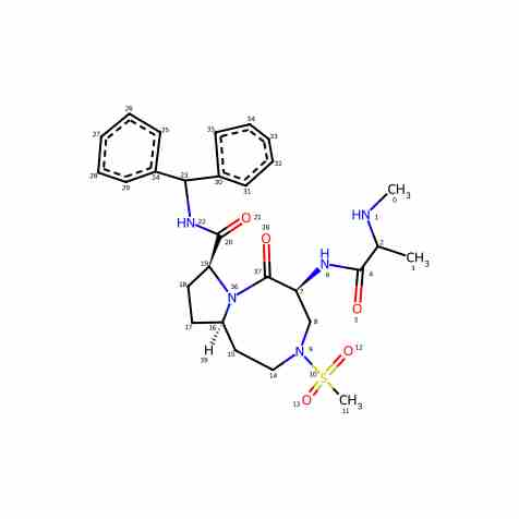 CNC(C)C(=O)N[C@H]1CN(S(C)(=O)=O)CC[C@H]2CC[C@@H](C(=O)NC(c3ccccc3)c3ccccc3)N2C1=O